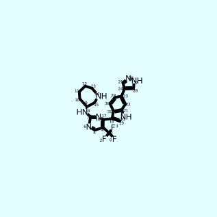 FC(F)(F)c1cnc(N[C@H]2CCCCNC2)nc1-c1c[nH]c2cc(-c3cn[nH]c3)ccc12